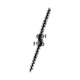 CCCCCCCCCCCCCCCCCCCCCNC(=O)c1ccc(C(=O)NCCCCCCCCCCCCCCCCCCCCC)cc1